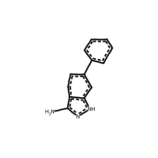 Nc1n[nH]c2cc(-c3ccccc3)ccc12